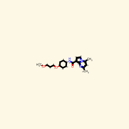 COCCCO[C@H]1CC[C@H](NC(=O)c2ccn3c(C)cc(C)nc23)CC1